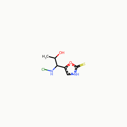 CC(O)C(NCl)c1c[nH]c(=S)o1